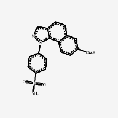 COc1ccc2c(ccc3cnn(-c4ccc(S(N)(=O)=O)cc4)c32)c1